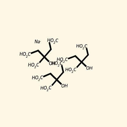 O=C(O)CC(O)(CC(=O)O)C(=O)O.O=C(O)CC(O)(CC(=O)O)C(=O)O.O=C(O)CC(O)(CC(=O)O)C(=O)O.[Na]